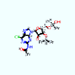 CC(C)C(=O)Nc1nc(Cl)c2ncn([C@@H]3O[C@H](CO[Si](O)(C(C)C)C(C)C)C(O[SiH](C(C)C)C(C)C)C3=O)c2n1